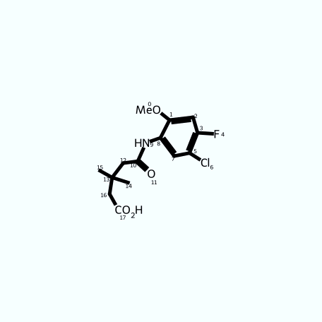 COc1cc(F)c(Cl)cc1NC(=O)CC(C)(C)CC(=O)O